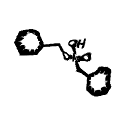 O=[As](O)(Cc1ccccc1)OCc1ccccc1